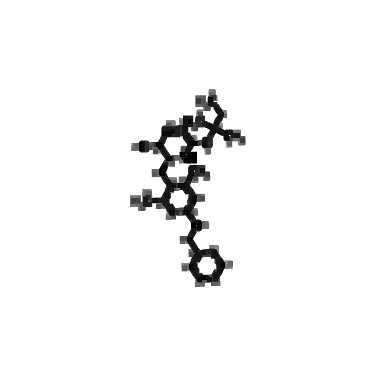 CCC(C)(C)OC(=O)N[C@@H](Cc1c(C)cc(OCc2ccccc2)cc1C)C(=O)O